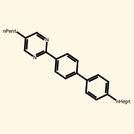 CCCCCCCc1ccc(-c2ccc(-c3ncc(CCCCC)cn3)cc2)cc1